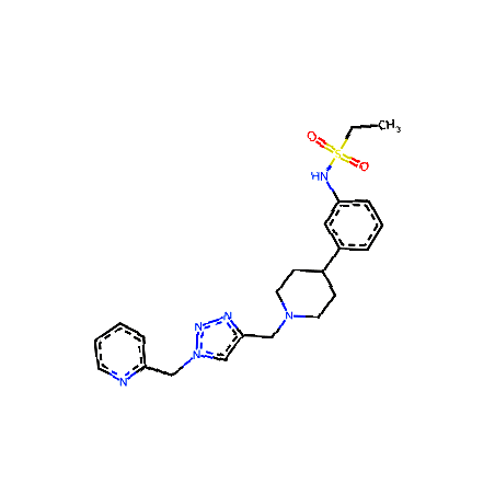 CCS(=O)(=O)Nc1cccc(C2CCN(Cc3cn(Cc4ccccn4)nn3)CC2)c1